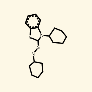 c1ccc2c(c1)SC(S[N]C1CCCCC1)N2C1CCCCC1